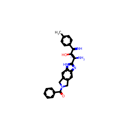 Cc1ccc(C(=N)/C(O)=C(\N)c2nc3cc4c(cc3[nH]2)CN(C(=O)c2ccccc2)C4)cc1